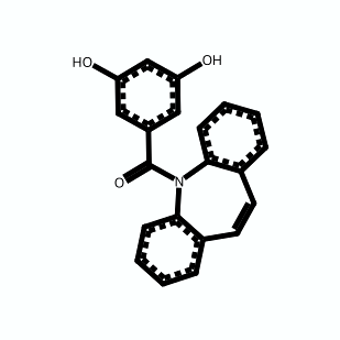 O=C(c1cc(O)cc(O)c1)N1c2ccccc2C=Cc2ccccc21